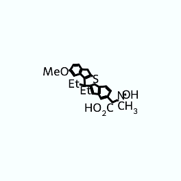 CCC1(CC)C2=Cc3cc(C(C(=O)O)C(C)=NO)ccc3C2SC2=C1c1cc(OC)ccc1C2